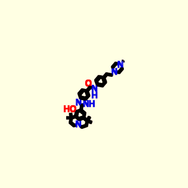 CN1CCN(CCc2ccc(NC(=O)c3ccc4nc(-c5cc6c7c(c5O)C(C)(C)CCN7CCC6(C)C)[nH]c4c3)cc2)CC1